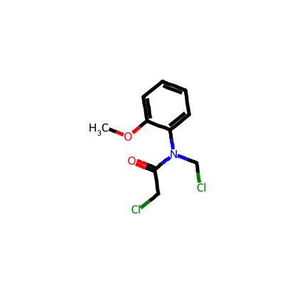 COc1ccccc1N(CCl)C(=O)CCl